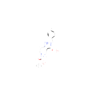 CC(C)(C)OC(=O)N1CCc2nn(Cc3ccccc3)c(O)c2C1